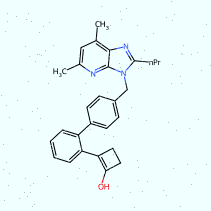 CCCc1nc2c(C)cc(C)nc2n1Cc1ccc(-c2ccccc2C2=C(O)CC2)cc1